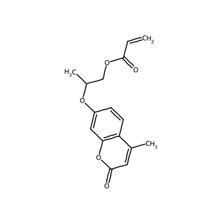 C=CC(=O)OCC(C)Oc1ccc2c(C)cc(=O)oc2c1